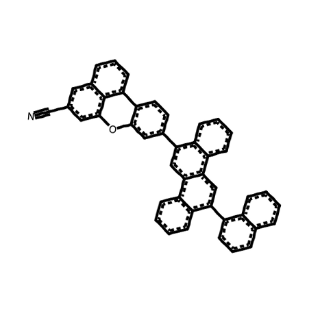 N#Cc1cc2c3c(cccc3c1)-c1ccc(-c3cc4c5ccccc5c(-c5cccc6ccccc56)cc4c4ccccc34)cc1O2